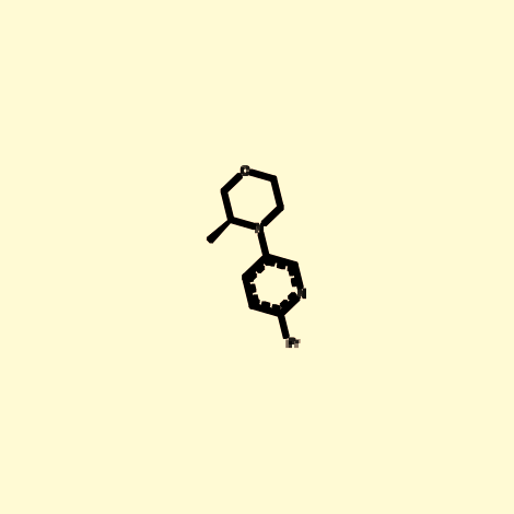 CC(C)c1ccc(N2CCOC[C@@H]2C)cn1